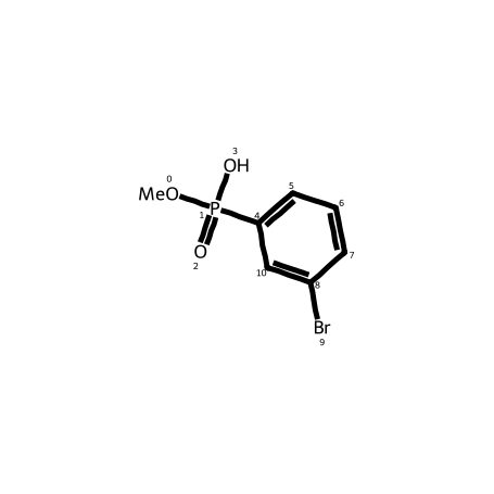 COP(=O)(O)c1cccc(Br)c1